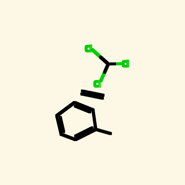 C=C.Cc1ccccc1.ClC(Cl)Cl